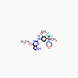 CCOc1nc(Nc2ccc(C(C)(N3CCOCC3)C(F)(F)F)cc2OC)nc2[nH]ccc12